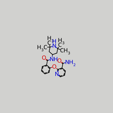 CC1(C)CC(NC(=O)c2ccccc2Oc2ncccc2C(N)=O)CC(C)(C)N1